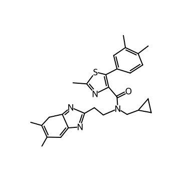 CC1=C(C)CC2=NC(CCN(CC3CC3)C(=O)c3nc(C)sc3-c3ccc(C)c(C)c3)=NC2=C1